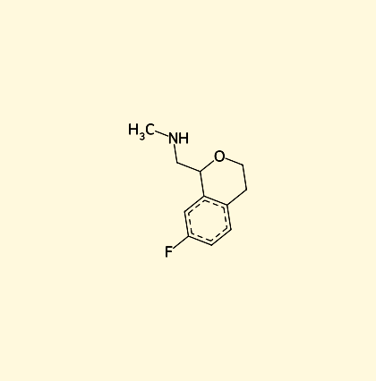 CNCC1OCCc2ccc(F)cc21